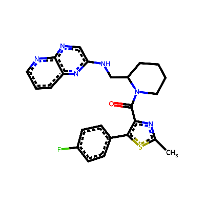 Cc1nc(C(=O)N2CCCCC2CNc2cnc3ncccc3n2)c(-c2ccc(F)cc2)s1